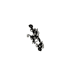 [C-]#[N+]CCOP(O[C@H]1C(C)[C@@H](COCCN(C)C(=O)CN2C(=O)c3ccccc3C2=O)O[C@H]1n1ccc(NC(=O)c2ccccc2)nc1=O)N(C(C)C)C(C)C